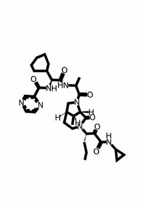 CCC[C@@H](C(=O)C(=O)NC1CC1)N1CC[C@H]2CN(C(=O)C(C)NC(=O)[C@@H](NC(=O)c3cnccn3)C3CCCCC3)[C@H](C1=O)[C@H]2C